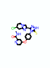 CNC(=O)c1cc(Oc2ccc(-n3c(-c4cn5ccc(Cl)cc5n4)n[nH]c3=S)cc2)ccn1